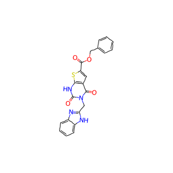 O=C(OCc1ccccc1)c1cc2c(=O)n(Cc3nc4ccccc4[nH]3)c(=O)[nH]c2s1